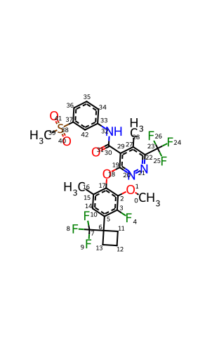 COc1c(F)c(C2(C(F)(F)F)CCC2)cc(C)c1Oc1nnc(C(F)(F)F)c(C)c1C(=O)Nc1cccc(S(C)(=O)=O)c1